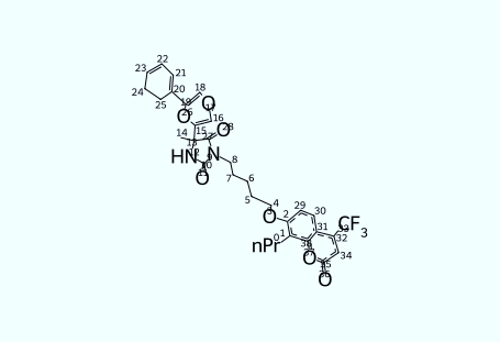 CCCc1c(OCCCCCN2C(=O)NC(C)(C3=COC=C(C4=CC=CCC4)O3)C2=O)ccc2c(C(F)(F)F)cc(=O)oc12